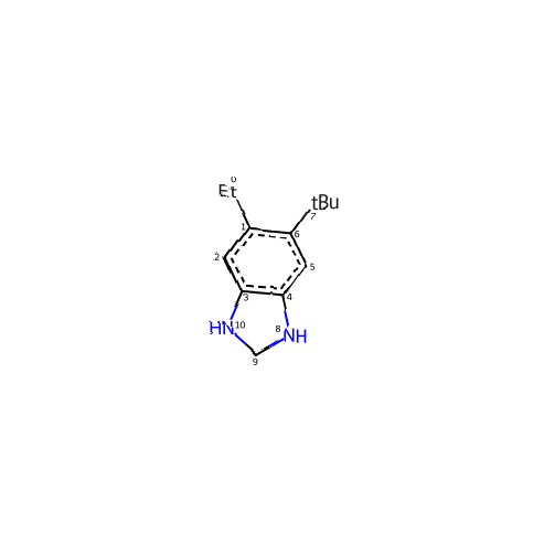 CCc1cc2c(cc1C(C)(C)C)NCN2